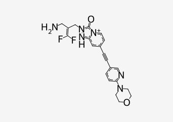 NCC(Cn1[nH]c2cc(C#Cc3ccc(N4CCOCC4)nc3)cc[n+]2c1=O)=C(F)F